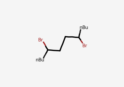 CCCCC(Br)CCC(Br)CCCC